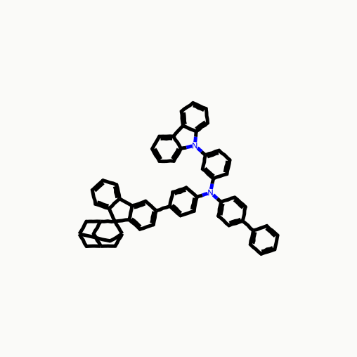 c1ccc(-c2ccc(N(c3ccc(-c4ccc5c(c4)-c4ccccc4C54C5CC6CC(C5)CC4C6)cc3)c3cccc(-n4c5ccccc5c5ccccc54)c3)cc2)cc1